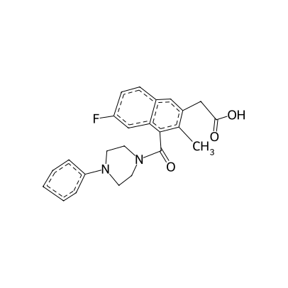 Cc1c(CC(=O)O)cc2ccc(F)cc2c1C(=O)N1CCN(c2ccccc2)CC1